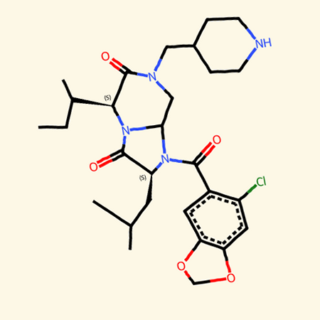 CCC(C)[C@H]1C(=O)N(CC2CCNCC2)CC2N1C(=O)[C@H](CC(C)C)N2C(=O)c1cc2c(cc1Cl)OCO2